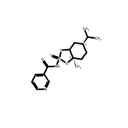 CC(C)[C@H]1CC[C@@]2(C)OP(=S)(NC(=O)c3cccnc3)SC2C1